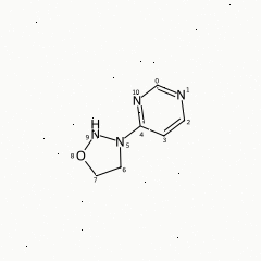 [c]1nccc(N2CCON2)n1